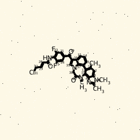 Cc1cc2c(nc(C)n2C)c2c1-c1cccc3c(C(=O)c4cc(F)c(NC(=O)/C=C/CCl)c(F)c4)cn(c13)CC(=O)N2C